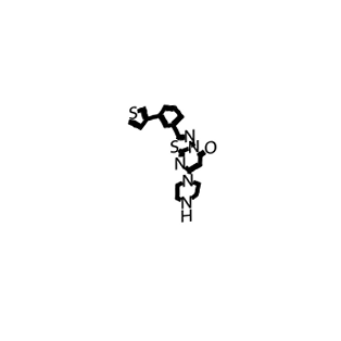 O=c1cc(N2CCNCC2)nc2sc(-c3cccc(-c4ccsc4)c3)nn12